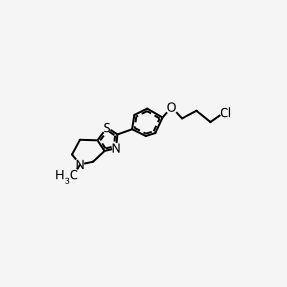 CN1CCc2sc(-c3ccc(OCCCCl)cc3)nc2C1